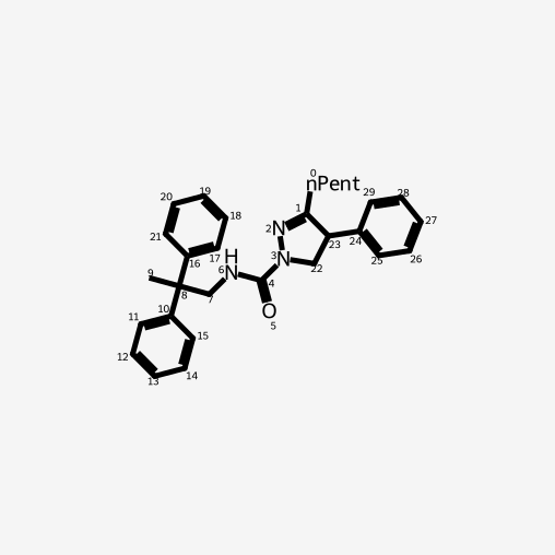 CCCCCC1=NN(C(=O)NCC(C)(c2ccccc2)c2ccccc2)CC1c1ccccc1